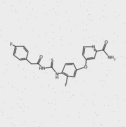 NC(=O)c1cc(Oc2ccc(NC(=S)NC(=O)Cc3ccc(F)cc3)c(F)c2)ccn1